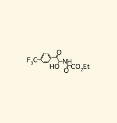 CCOC(=O)C(=O)NC(O)C(=O)c1ccc(C(F)(F)F)cc1